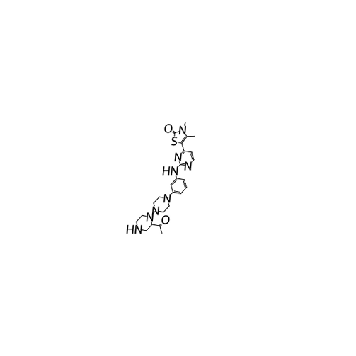 CC(=O)C1CNCCN1N1CCN(c2cccc(Nc3nccc(-c4sc(=O)n(C)c4C)n3)c2)CC1